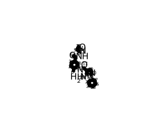 Cc1ccc(C(=O)Nc2ccon2)cc1NC(=O)c1cnn(-c2ccccc2)c1N